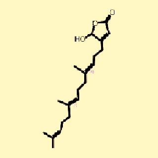 CC(C)=CCC/C(C)=C/CC/C(C)=C/CCC1=CC(=O)OC1O